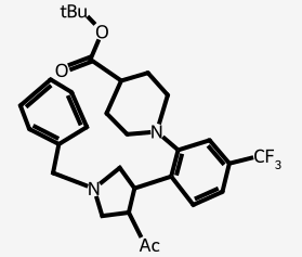 CC(=O)C1CN(Cc2ccccc2)CC1c1ccc(C(F)(F)F)cc1N1CCC(C(=O)OC(C)(C)C)CC1